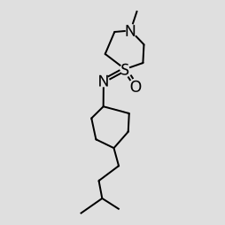 CC(C)CCC1CCC(N=S2(=O)CCN(C)CC2)CC1